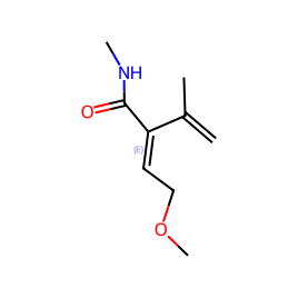 C=C(C)/C(=C\COC)C(=O)NC